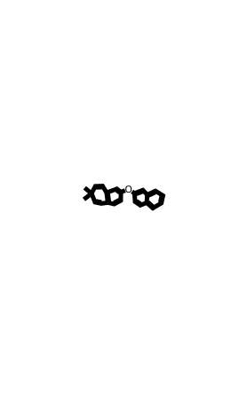 CC1(C)C=Cc2ccc(Oc3ccc4ccccc4c3)cc2C=C1